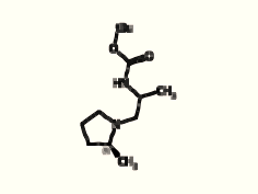 CC(CN1CCC[C@@H]1C)NC(=O)OC(C)(C)C